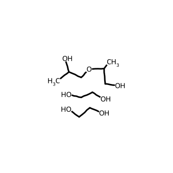 CC(O)COC(C)CO.OCCO.OCCO